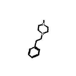 CN1CCN(CCc2[c]cccc2)CC1